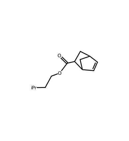 CC(C)CCOC(=O)C1CC2C=CC1C2